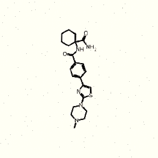 CN1CCN(c2nc(-c3ccc(C(=O)NC4(C(N)=O)CCCCC4)cc3)cs2)CC1